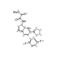 COC(=O)C(=O)NC1C=NN2C=CC(N3CCC[C@@H]3c3cc(F)ccc3F)=NC12